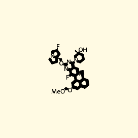 C#Cc1cccc2cc(OCOC)cc(-c3c(F)cc4c(N5CCC[C@@](C)(O)C5)nc(OC[C@@]56CCCN5C[C@H](F)C6)nc4c3F)c12